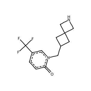 O=c1ccc(C(F)(F)F)cn1CC1CC2(CNC2)C1